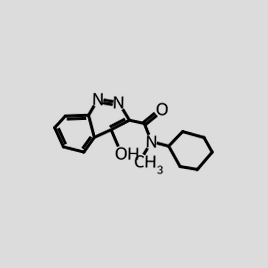 CN(C(=O)c1nnc2ccccc2c1O)C1CCCCC1